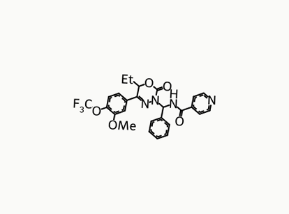 CCC1OC(=O)N(C(NC(=O)c2ccncc2)c2ccccc2)N=C1c1ccc(OC(F)(F)F)c(OC)c1